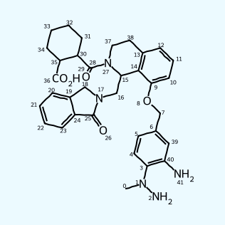 CN(N)c1ccc(COc2cccc3c2C(CN2Cc4ccccc4C2=O)N(C(=O)C2CCCCC2C(=O)O)CC3)cc1N